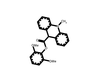 COc1cccc(OC)c1OC(=O)C1c2ccccc2N(C)c2ccccc21